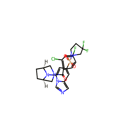 O=C(c1ccc(F)cc1Cl)N1C[C@H]2CC[C@@H](C1)N2c1cc(S(=O)(=O)N2CCC(F)(F)C2)cc2cncn12